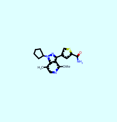 COc1ncc(C)c2c1c(-c1csc(C(N)=O)c1)nn2C1CCCC1